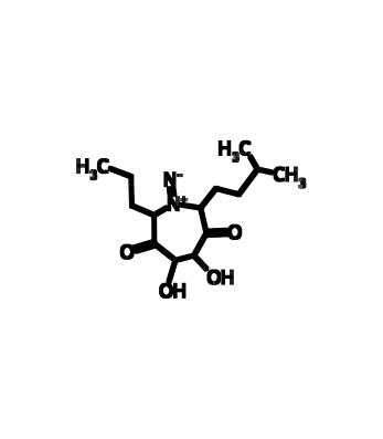 CCCC1C(=O)C(O)C(O)C(=O)C(CCC(C)C)[N+]1=[N-]